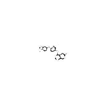 Cc1cc(Nc2ncnc3cnc(F)cc23)ccc1Cc1ccc2c(c1)ncn2C